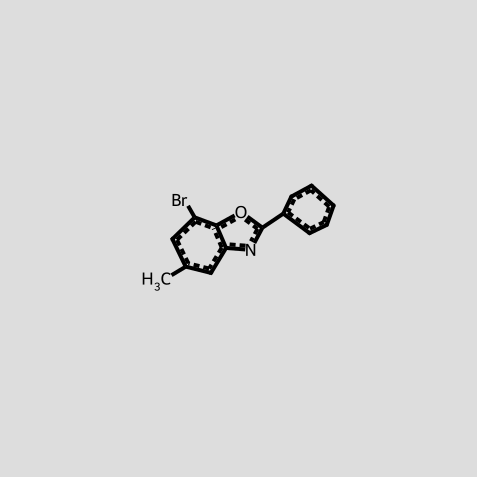 Cc1cc(Br)c2oc(-c3ccccc3)nc2c1